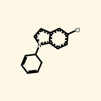 Clc1ccc2c(ccn2C2C=CC=CC2)c1